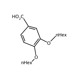 CCCCCCOc1ccc(C(=O)O)cc1OCCCCCC